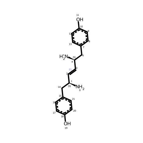 N[C@H](/C=C/[C@@H](N)Cc1ccc(O)cc1)Cc1ccc(O)cc1